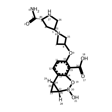 NC(=O)[C@H]1C[C@H](N2CC(Oc3ccc4c(c3C(=O)O)OB(O)[C@@H]3C[C@H]43)C2)CN1